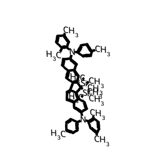 Cc1ccc(N(c2ccc3cc4c(cc3c2)C([Si](C)(C)C)([Si](C)(C)C)c2c-4ccc3cc(N(c4ccc(C)cc4)c4cc(C)ccc4C)ccc23)c2cc(C)ccc2C)cc1